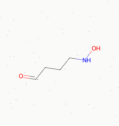 O=[C]CCCNO